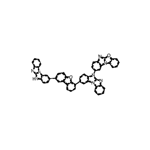 c1ccc2c(c1)nc1[nH]c3ccc(-c4ccc5oc6c(-c7ccc8c(c7)n7c9ccccc9nc7n8-c7ccc8nc9oc%10ccccc%10n9c8c7)cccc6c5c4)cc3n12